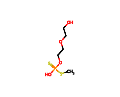 CSP(O)(=S)OCCOCCO